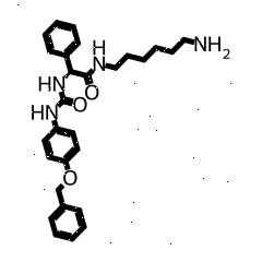 NCCCCCCNC(=O)[C@@H](NC(=O)Nc1ccc(OCc2ccccc2)cc1)c1ccccc1